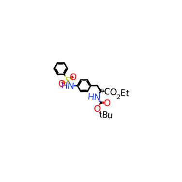 CCOC(=O)[C@H](Cc1ccc(NS(=O)(=O)c2ccccc2)cc1)NC(=O)OC(C)(C)C